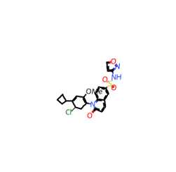 COC1=C(n2c(=O)ccc3cc(S(=O)(=O)Nc4ccon4)ccc32)C[C@@H](Cl)C(C2CCC2)=C1